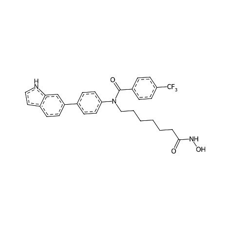 O=C(CCCCCCN(C(=O)c1ccc(C(F)(F)F)cc1)c1ccc(-c2ccc3cc[nH]c3c2)cc1)NO